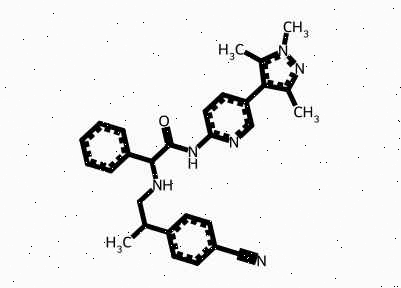 Cc1nn(C)c(C)c1-c1ccc(NC(=O)C(NCC(C)c2ccc(C#N)cc2)c2ccccc2)nc1